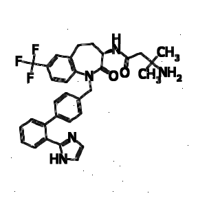 CC(C)(N)CC(=O)N[C@@H]1CCc2cc(C(F)(F)F)ccc2N(Cc2ccc(-c3ccccc3-c3ncc[nH]3)cc2)C1=O